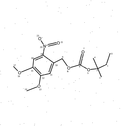 CCC(C)(C)OC(=O)OCc1cc(OC)c(OC)cc1[N+](=O)[O-]